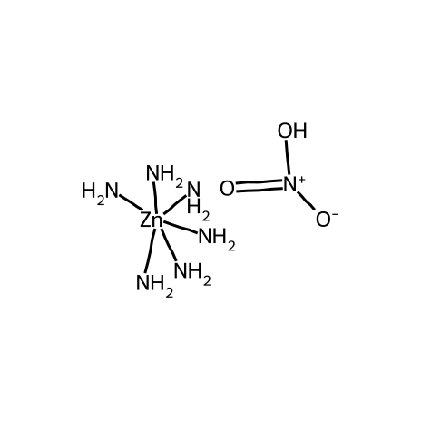 O=[N+]([O-])O.[NH2][Zn]([NH2])([NH2])([NH2])([NH2])[NH2]